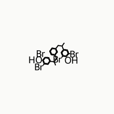 CC(Cc1cccc(CC(C)c2cc(Br)c(O)c(Br)c2)c1)c1cc(Br)c(O)c(Br)c1